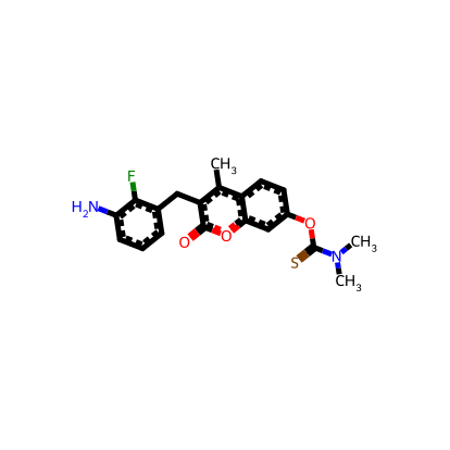 Cc1c(Cc2cccc(N)c2F)c(=O)oc2cc(OC(=S)N(C)C)ccc12